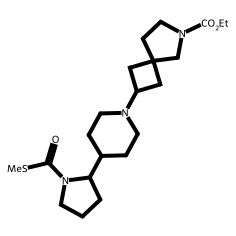 CCOC(=O)N1CCC2(CC(N3CCC(C4CCCN4C(=O)SC)CC3)C2)C1